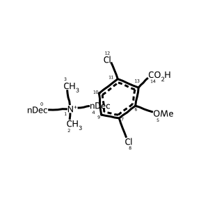 CCCCCCCCCC[N+](C)(C)CCCCCCCCCC.COc1c(Cl)ccc(Cl)c1C(=O)O